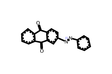 O=C1c2ccccc2C(=O)c2cc(/N=N/c3ccccc3)ccc21